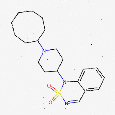 O=S1(=O)N=Cc2ccccc2N1C1CCN(C2CCCCCCC2)CC1